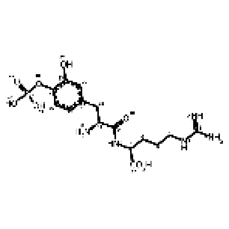 N=C(N)NCCC[C@H](NC(=O)[C@@H](N)Cc1ccc(OP(=O)(O)O)c(O)c1)C(=O)O